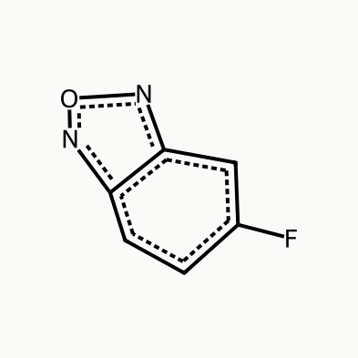 Fc1ccc2nonc2c1